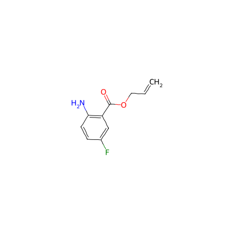 C=CCOC(=O)c1cc(F)ccc1N